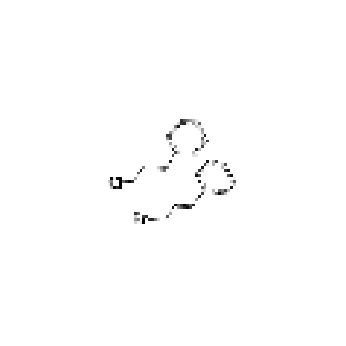 BrCC=Cc1ccccc1.ClCC=Cc1ccccc1